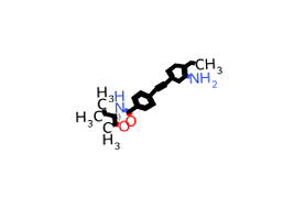 CCC1=C(N)CC(C#Cc2ccc(C(=O)N[C@H](C(C)=O)C(C)C)cc2)=CC1